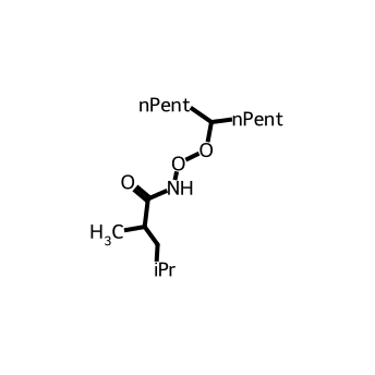 CCCCCC(CCCCC)OONC(=O)C(C)CC(C)C